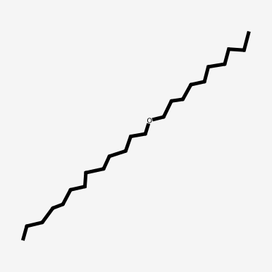 CCCCCCCCCCCCCOCCCCCCCCCC